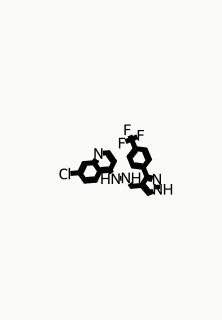 FC(F)(F)c1ccc(-c2n[nH]cc2CNNc2ccnc3cc(Cl)ccc23)cc1